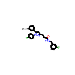 COc1cccc(-c2cc(CCC(=O)NCc3cccc(F)c3)nn2-c2ccc(F)cc2)c1